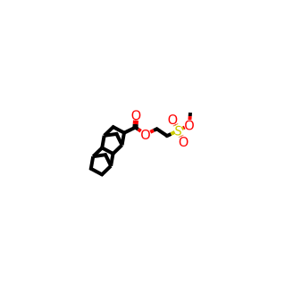 COS(=O)(=O)CCOC(=O)C1CC2CC1C1C3CCC(C3)C21